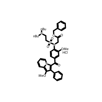 CCCCN(CCCC)CCS(=O)(=O)N(CC(=O)OCc1ccccc1)c1ccc(C(=O)c2c(-c3ccccc3)c(OC)c3ccccn23)cc1OC.Cl